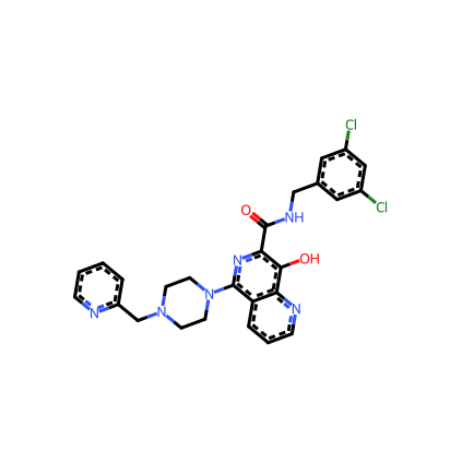 O=C(NCc1cc(Cl)cc(Cl)c1)c1nc(N2CCN(Cc3ccccn3)CC2)c2cccnc2c1O